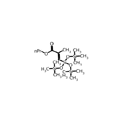 CCCOC(=O)C(C)=C[Si](O[Si](C)(C)C)(O[Si](C)(C)C)O[Si](C)(C)C